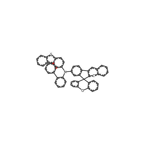 c1ccc(-c2ccccc2N(c2ccc3c(c2)C2(c4ccccc4Oc4ccccc42)c2cc4ccccc4cc2-3)c2ccc3sc4ccccc4c3c2)cc1